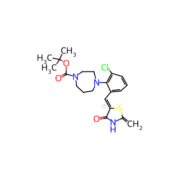 C=c1[nH]c(=O)/c(=C/c2cccc(Cl)c2N2CCCN(C(=O)OC(C)(C)C)CC2)s1